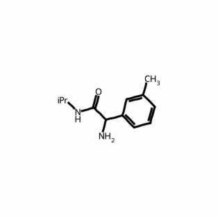 Cc1cccc(C(N)C(=O)NC(C)C)c1